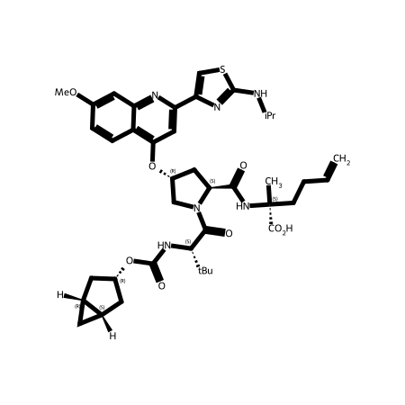 C=CCC[C@](C)(NC(=O)[C@@H]1C[C@@H](Oc2cc(-c3csc(NC(C)C)n3)nc3cc(OC)ccc23)CN1C(=O)[C@@H](NC(=O)O[C@@H]1C[C@@H]2C[C@@H]2C1)C(C)(C)C)C(=O)O